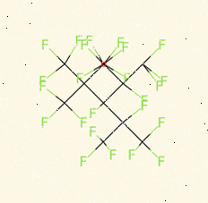 FC(F)(F)C(F)(C(F)(F)F)C(F)(C(F)(C(F)(F)F)C(F)(F)F)C(C(F)(F)F)(C(F)(F)F)C(F)(F)F